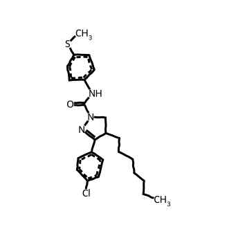 CCCCCCCC1CN(C(=O)Nc2ccc(SC)cc2)N=C1c1ccc(Cl)cc1